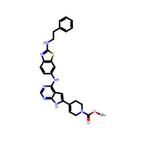 CC(C)(C)OC(=O)N1CC=C(c2cc3c(Nc4ccc5nc(NCCc6ccccc6)sc5c4)ncnc3[nH]2)CC1